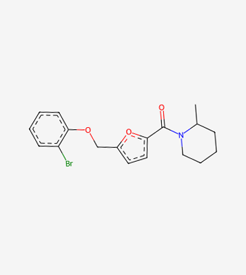 CC1CCCCN1C(=O)c1ccc(COc2ccccc2Br)o1